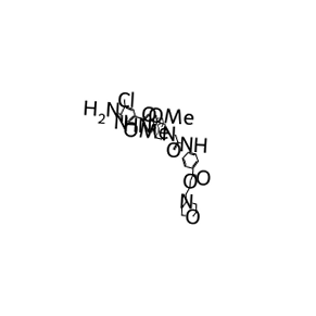 COc1nc(N)c(Cl)cc1C(=O)N[C@@H]1CCN(CC(=O)Nc2ccc(C(=O)OCCN3CCOCC3)cc2)C[C@@H]1OC